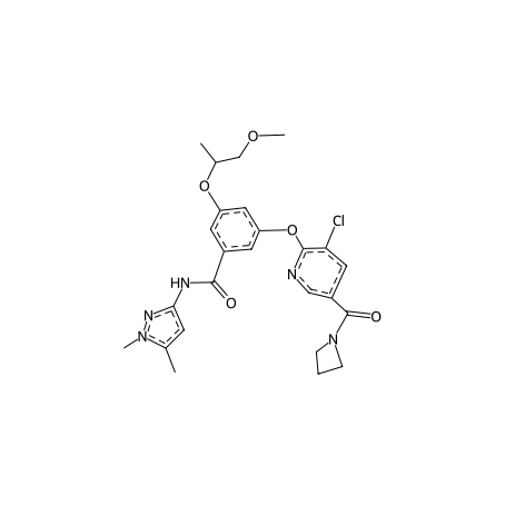 COCC(C)Oc1cc(Oc2ncc(C(=O)N3CCC3)cc2Cl)cc(C(=O)Nc2cc(C)n(C)n2)c1